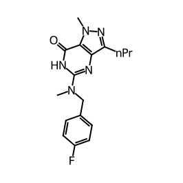 CCCc1nn(C)c2c(=O)[nH]c(N(C)Cc3ccc(F)cc3)nc12